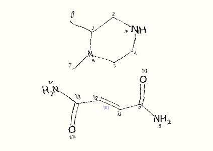 CC1CNCCN1C.NC(=O)/C=C/C(N)=O